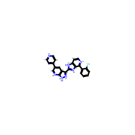 Fc1ccccc1-c1nccc2[nH]c(-c3n[nH]c4ncc(-c5ccncc5)cc34)nc12